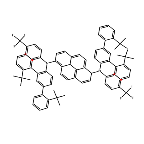 CC(C)(C)c1ccccc1-c1ccc(N(C2=C3C=CC4=C5C(=CC=C(C=C2)C35)C(N(c2ccc(C(F)(F)F)cc2)c2ccc(-c3ccccc3C(C)(C)C)cc2-c2ccccc2C(C)(C)C)C=C4)c2ccc(C(F)(F)F)cc2)c(-c2ccccc2C(C)(C)C)c1